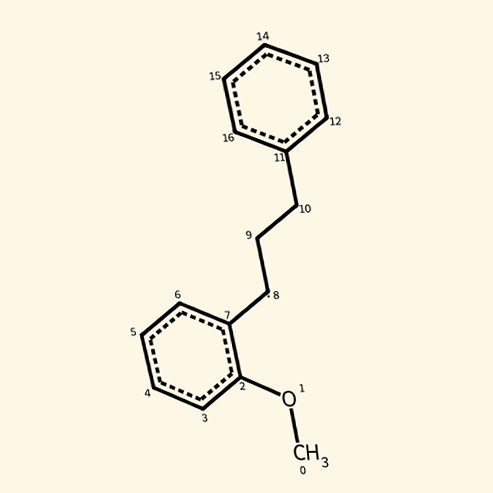 COc1ccccc1[CH]CCc1ccccc1